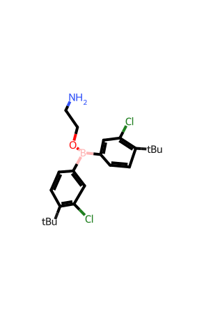 CC(C)(C)c1ccc(B(OCCN)c2ccc(C(C)(C)C)c(Cl)c2)cc1Cl